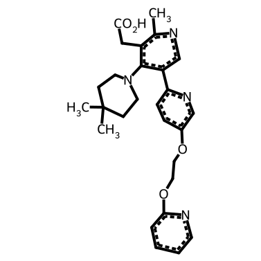 Cc1ncc(-c2ccc(OCCOc3ccccn3)cn2)c(N2CCC(C)(C)CC2)c1CC(=O)O